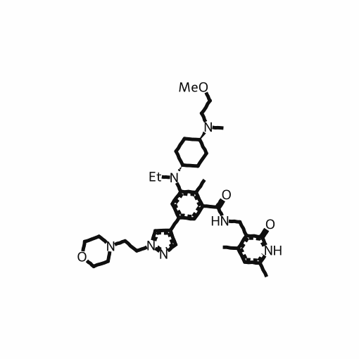 CCN(c1cc(-c2cnn(CCN3CCOCC3)c2)cc(C(=O)NCc2c(C)cc(C)[nH]c2=O)c1C)[C@H]1CC[C@H](N(C)CCOC)CC1